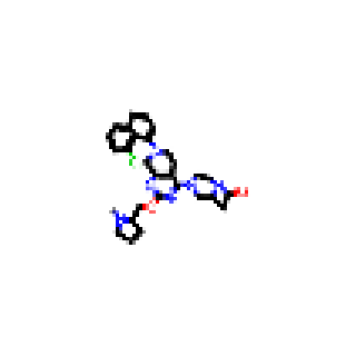 CN1CCCC1COc1nc2c(c(N3CCN4C(=O)CC4C3)n1)CCN(c1cccc3cccc(Cl)c13)C2